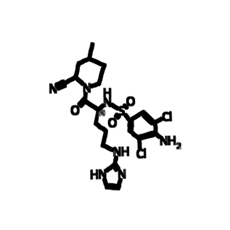 CC1CCN(C(=O)[C@H](CCCNc2ncc[nH]2)NS(=O)(=O)c2cc(Cl)c(N)c(Cl)c2)C(C#N)C1